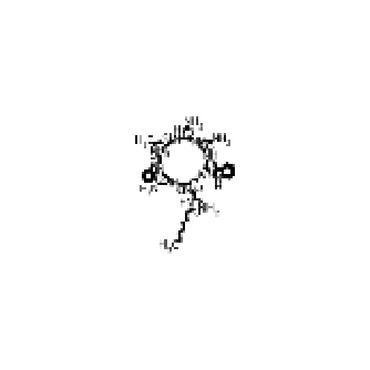 CCCCCCCC(=O)N[C@H](CN)C(=O)N[C@H]1CCNC(=O)[C@H](Cc2c[nH]c3ccccc23)NC(=O)[C@H](CCN)NC(=O)[C@H](CCN)NC(=O)[C@H](CC(C)C)NC(=O)[C@@H](Cc2ccccc2)NC(=O)[C@H](CCN)NC1=O